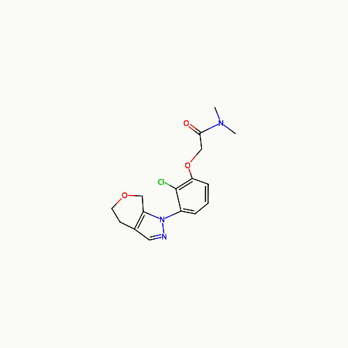 CN(C)C(=O)COc1cccc(-n2ncc3c2COCC3)c1Cl